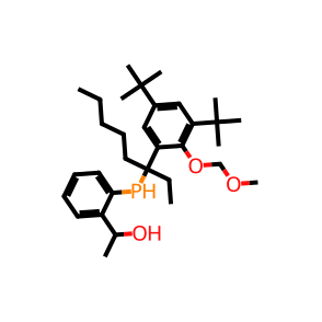 CCCCCC(CC)(Pc1ccccc1C(C)O)c1cc(C(C)(C)C)cc(C(C)(C)C)c1OCOC